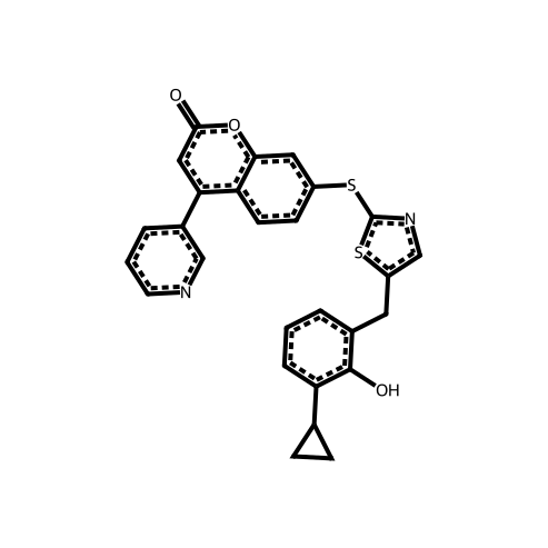 O=c1cc(-c2cccnc2)c2ccc(Sc3ncc(Cc4cccc(C5CC5)c4O)s3)cc2o1